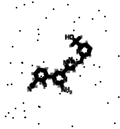 CC(C)(O)c1cccc(Cn2cc(-c3cc(-c4cccc(C#N)c4F)nc(N)n3)nn2)n1